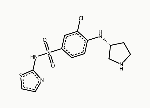 O=S(=O)(Nc1nccs1)c1ccc(N[C@@H]2CCNC2)c(Cl)c1